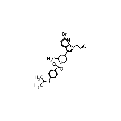 CC(C)Oc1ccc(S(=O)(=O)N2CCC(c3cn(CC=O)c4nc(Br)ccc34)CC2C)cc1